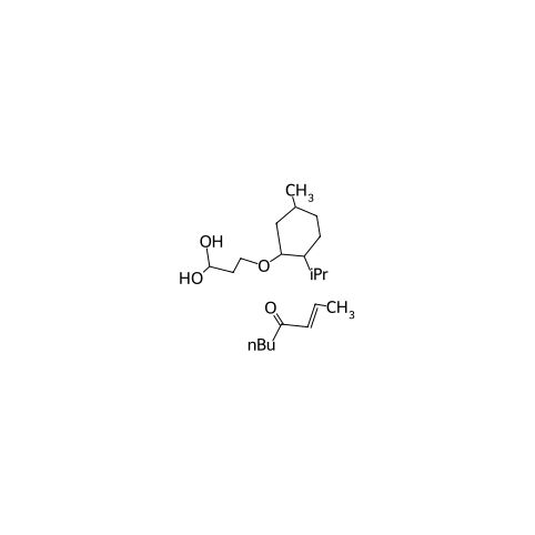 CC1CCC(C(C)C)C(OCCC(O)O)C1.CC=CC(=O)CCCC